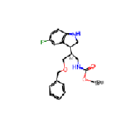 CC(C)(C)OC(=O)NC[C@@H](COCc1ccccc1)C1CNc2ccc(F)cc21